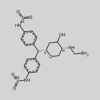 BCN[C@@H]1CO[C@H](C(c2ccc(N[SH](=O)=O)cc2)c2ccc(N[SH](=O)=O)cc2)CC1O